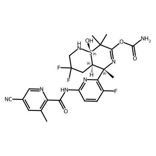 Cc1cc(C#N)cnc1C(=O)Nc1ccc(F)c([C@@]2(C)N=C(OC(N)=O)C(C)(C)[S@@]3(O)NCC(F)(F)C[C@H]23)n1